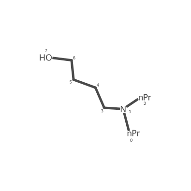 CCCN(CCC)CCCCO